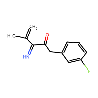 C=C(C)C(=N)C(=O)Cc1cccc(F)c1